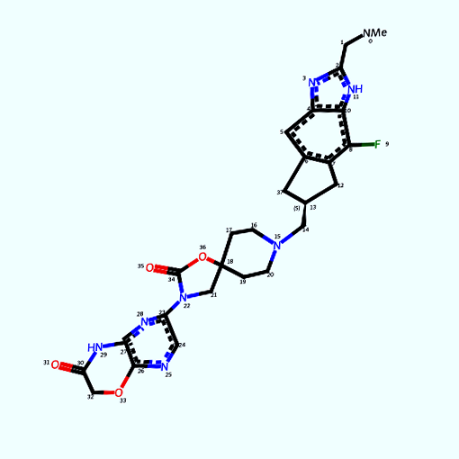 CNCc1nc2cc3c(c(F)c2[nH]1)C[C@@H](CN1CCC2(CC1)CN(c1cnc4c(n1)NC(=O)CO4)C(=O)O2)C3